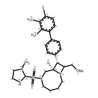 COCC1[C@@H](c2ccc(-c3ccc(F)c(C)c3C)cc2)[C@@H]2CN(S(=O)(=O)C3NCCN3C)CCCCN12